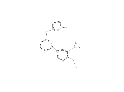 Cn1ccc(Nc2ncnc(-c3ccc(CNC(=O)O)c(C4CC4)c3)n2)n1